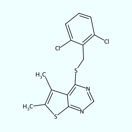 Cc1sc2ncnc(SCc3c(Cl)cccc3Cl)c2c1C